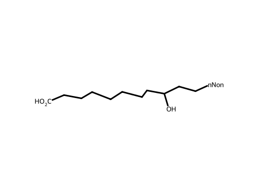 CCCCCCCCCCCC(O)CCCCCCCC(=O)O